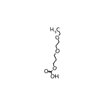 CCOCCOCCCOC(=O)O